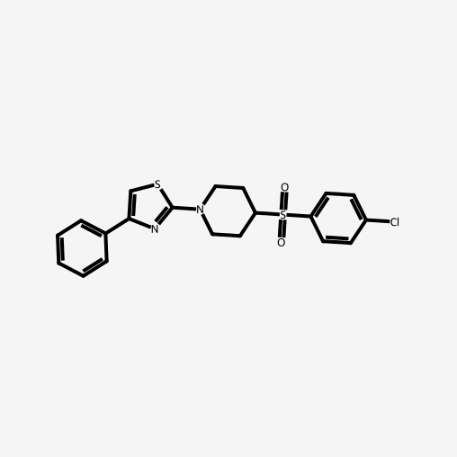 O=S(=O)(c1ccc(Cl)cc1)C1CCN(c2nc(-c3ccccc3)cs2)CC1